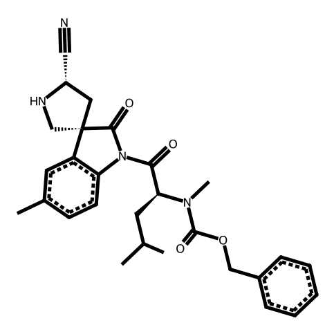 Cc1ccc2c(c1)[C@]1(CN[C@H](C#N)C1)C(=O)N2C(=O)[C@H](CC(C)C)N(C)C(=O)OCc1ccccc1